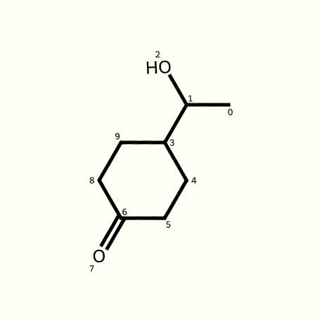 CC(O)C1CCC(=O)CC1